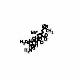 CO/N=C(/C(=O)NC1C(=O)N2C(C(=O)[O-])=C(/C=C/c3scnc3C)CS[C@H]12)c1csc(N)n1.[Na+]